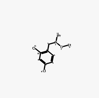 CCON(Cc1ccc(Cl)cc1Cl)C(C)C